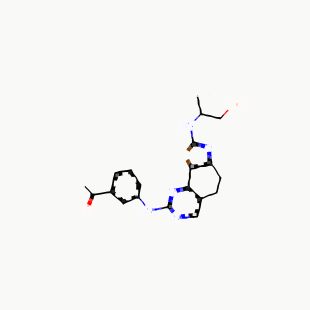 CC(=O)c1cccc(Nc2ncc3c(n2)-c2sc(NC(C)CO)nc2CC3)c1